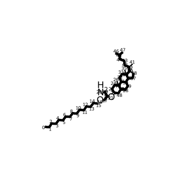 CCCCCCCCCCCCCCCCOCC(CN)OC1CC[C@@]2(C)C(=CCC3C2CC[C@@]2(C)C3CC[C@@H]2[C@H](C)CCCC(C)C)C1